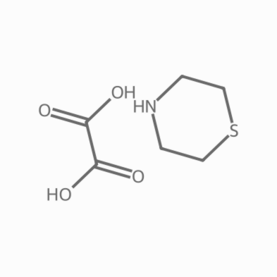 C1CSCCN1.O=C(O)C(=O)O